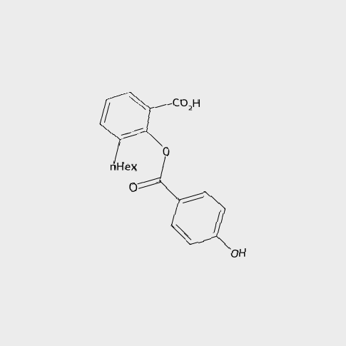 CCCCCCc1cccc(C(=O)O)c1OC(=O)c1ccc(O)cc1